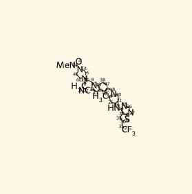 CNC(=O)N1CCN([C@@H](C)Cn2c(C#N)cc3c(C)c(CN4CCC(Nc5ncnc6sc(CC(F)(F)F)cc56)CC4)ccc32)CC1